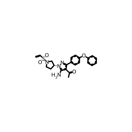 C=CS(=O)(=O)N1CC[C@@H](n2nc(-c3ccc(Oc4ccccc4)cc3)c(C(C)=O)c2N)C1